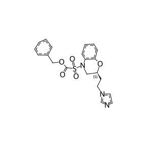 O=C(OCc1ccccc1)S(=O)(=O)N1C[C@H](CCn2ccnc2)Oc2ccccc21